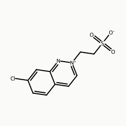 O=S(=O)([O-])CC[n+]1ccc2ccc(Cl)cc2n1